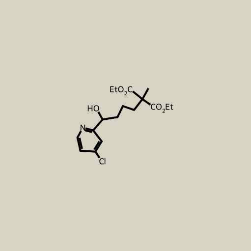 CCOC(=O)C(C)(CCCC(O)c1cc(Cl)ccn1)C(=O)OCC